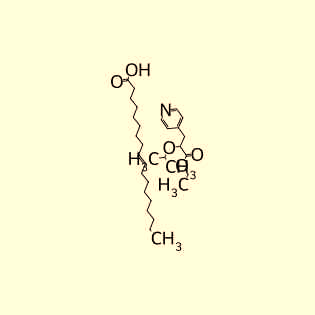 CCCCCCCCC=CCCCCCCCC(=O)O.CCOC(=O)C(Cc1ccncc1)OC(C)C